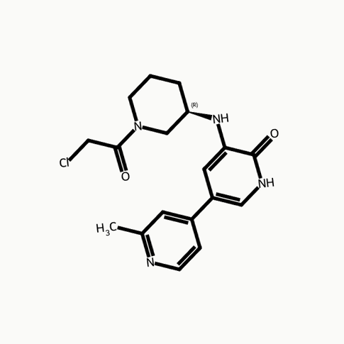 Cc1cc(-c2c[nH]c(=O)c(N[C@@H]3CCCN(C(=O)CCl)C3)c2)ccn1